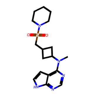 CN(c1ncnc2[nH]ccc12)C1CC(CS(=O)(=O)N2CCCCC2)C1